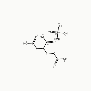 O=C(O)CCC(CC(=O)O)C(=O)O.O=P(O)(O)O